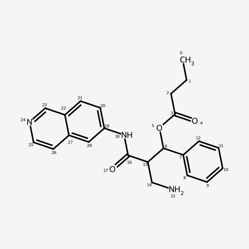 CCCC(=O)OC(c1ccccc1)C(CN)C(=O)Nc1ccc2cnccc2c1